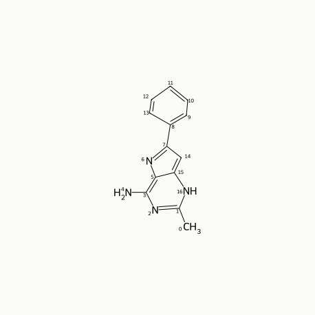 Cc1nc(N)c2nc(-c3ccccc3)cc-2[nH]1